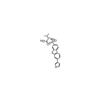 CC(C)[C@H](NS(=O)(=O)c1ccc2c(c1)sc1cc(-c3ccoc3)ccc12)C(=O)O